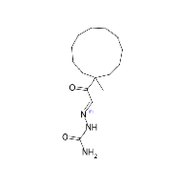 CC1(C(=O)/C=N/NC(N)=O)CCCCCCCCCC1